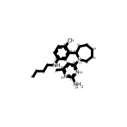 CCCCNc1ccc(Cl)c(C2CCCCCN2c2cc(C)nc(N)n2)c1